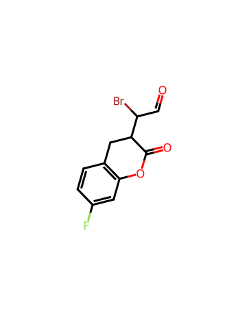 O=CC(Br)C1Cc2ccc(F)cc2OC1=O